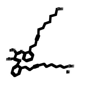 CCCCCCCCCCCCCCCCC#CCCc1ccccc1N=C(CCCC)C(CCCC)=Nc1ccccc1CCC#CCCCCCCCCCCCCCCCC.[Ni]